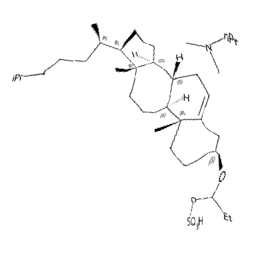 CCC(O[C@H]1CC[C@@]2(C)C(=CC[C@H]3[C@@H]4CC[C@H]([C@H](C)CCCC(C)C)[C@@]4(C)CC[C@@H]32)C1)OS(=O)(=O)O.CCCN(C)C